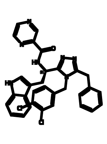 O=C(N[C@H](Cc1c[nH]c2ccccc12)c1nnc(Cc2ccccc2)n1Cc1ccc(Cl)c(Cl)c1)c1cnccn1